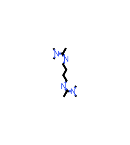 CC(=NCCCCN=C(C)N(C)C)N(C)C